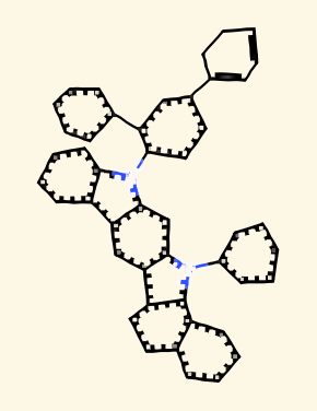 C1=CCCC(c2ccc(-n3c4ccccc4c4cc5c6ccc7ccccc7c6n(-c6ccccc6)c5cc43)c(-c3ccccc3)c2)=C1